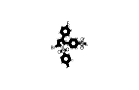 Cc1ccc(S(=O)(=O)n2c(Br)cc(-c3ccc(F)cc3)c2-c2ccc(S(C)(=O)=O)cc2)cc1